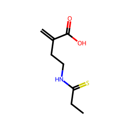 C=C(CCNC(=S)CC)C(=O)O